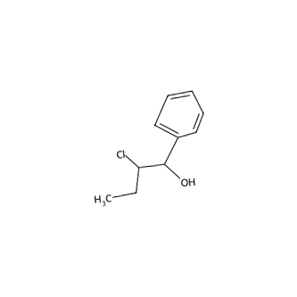 CCC(Cl)C(O)c1ccccc1